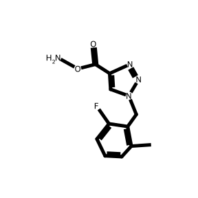 Cc1cccc(F)c1Cn1cc(C(=O)ON)nn1